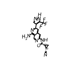 N#C[C@H]1C[C@@H]1C(=O)Nc1cc2cc(-c3cn[nH]c3C(F)(F)F)nc(N)c2cn1